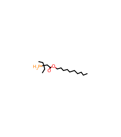 CCCCCCCCCCOC(=O)CC(P)(CC)CC